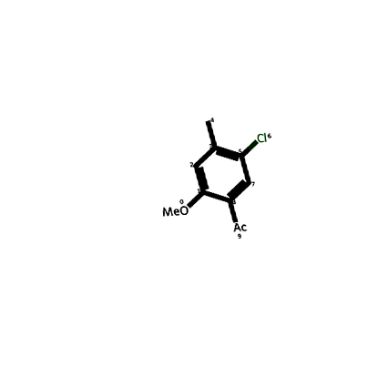 COc1cc(C)c(Cl)cc1C(C)=O